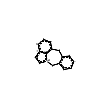 c1ccc2c(c1)Cc1cccc3ccn(c13)C2